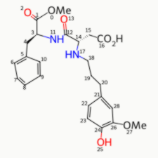 COC(=O)[C@H](Cc1ccccc1)NC(=O)[C@H](CC(=O)O)NCCCc1ccc(O)c(OC)c1